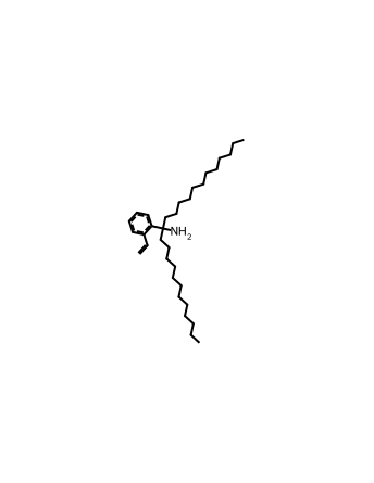 C=Cc1ccccc1C(N)(CCCCCCCCCCCC)CCCCCCCCCCCC